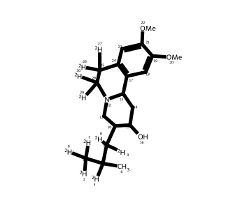 [2H]C([2H])([2H])C([2H])(C)C([2H])([2H])C1CN2C(CC1O)c1cc(OC)c(OC)cc1C([2H])([2H])C2([2H])[2H]